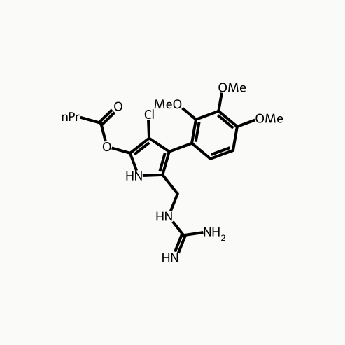 CCCC(=O)Oc1[nH]c(CNC(=N)N)c(-c2ccc(OC)c(OC)c2OC)c1Cl